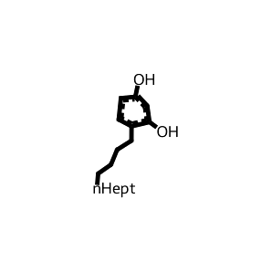 CCCCCCCCCCCc1ccc(O)cc1O